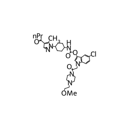 CCCC(=O)c1cnn(C2CCC(NC(=O)Oc3cn(CC(=O)N4CCN(CCOC)CC4)c4ccc(Cl)cc34)CC2)c1C